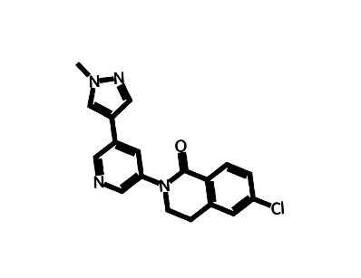 Cn1cc(-c2cncc(N3CCc4cc(Cl)ccc4C3=O)c2)cn1